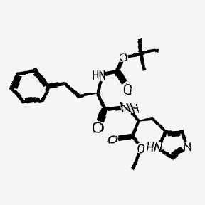 COC(=O)[C@H](Cc1cnc[nH]1)NC(=O)[C@@H](CCc1ccccc1)NC(=O)OC(C)(C)C